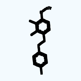 CCCOc1ccc(CCc2ccc(C)cc2)c(C)c1C